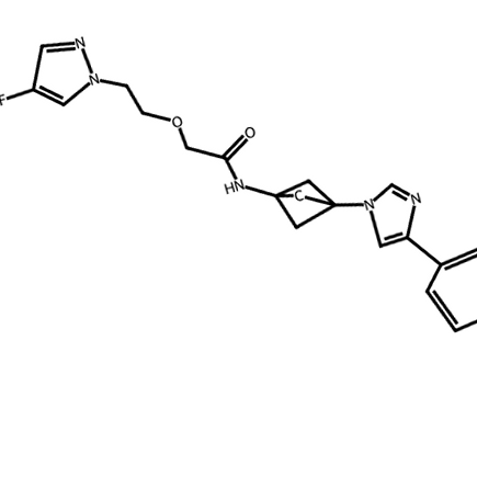 O=C(COCCn1cc(F)cn1)NC12CC(n3cnc(-c4ccc(Cl)cc4)c3)(C1)C2